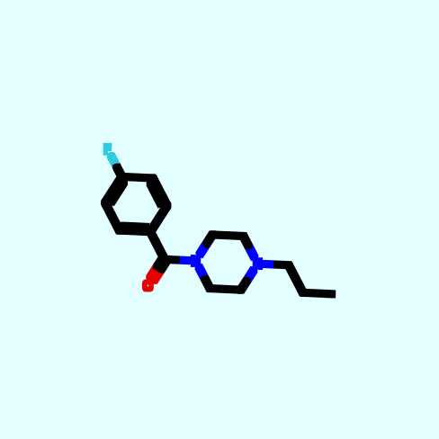 CCCN1CCN(C(=O)c2ccc(F)cc2)CC1